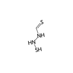 S=CNNS